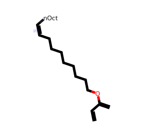 C=CC(=C)OCCCCCCCC/C=C\CCCCCCCC